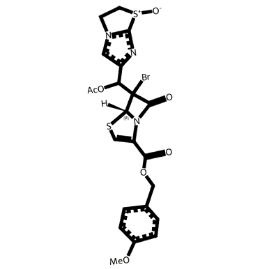 COc1ccc(COC(=O)C2=CS[C@H]3N2C(=O)C3(Br)C(OC(C)=O)c2cn3c(n2)[S+]([O-])CC3)cc1